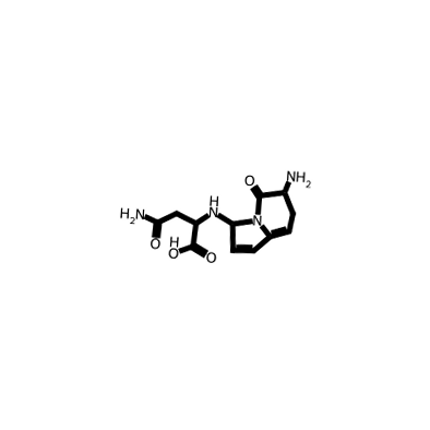 NC(=O)CC(NC1C=CC2=CCC(N)C(=O)N21)C(=O)O